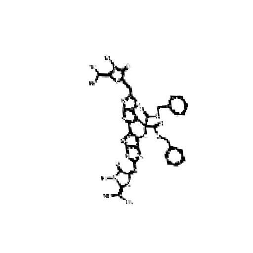 CCN1C(=O)/C(=N\c2nc3sc4c(c3s2)OC(C(=O)OCc2ccccc2)(C(=O)OCc2ccccc2)c2c-4sc3nc(/C=c4\sc(=C(C#N)C#N)n(CC)c4=O)sc23)SC1=C(C#N)C#N